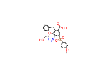 COc1ccc(S(=O)(=O)c2cc(C(=O)O)c(Cc3ccccc3)c(OCCO)c2N)cc1